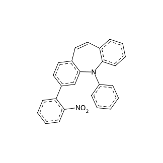 O=[N+]([O-])c1ccccc1-c1ccc2c(c1)N(c1ccccc1)c1ccccc1C=C2